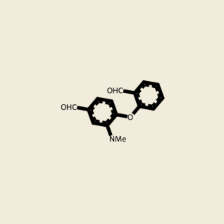 CNc1cc(C=O)ccc1Oc1ccccc1C=O